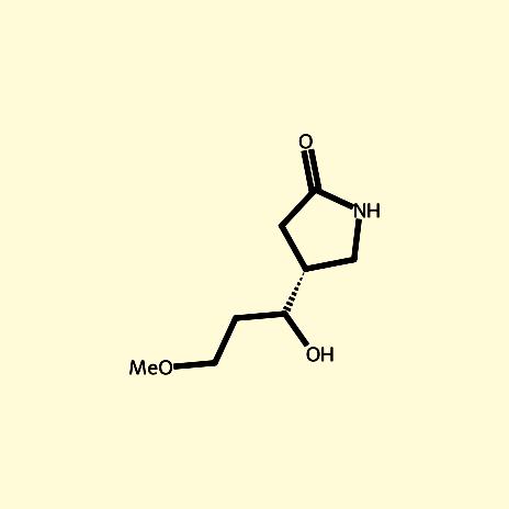 COCCC(O)[C@H]1CNC(=O)C1